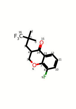 CC(C)(CC1COc2c(F)cccc2C1=O)C(F)(F)F